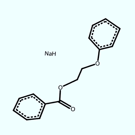 O=C(OCCOc1ccccc1)c1ccccc1.[NaH]